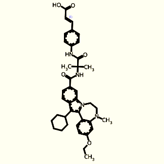 CCOc1ccc2c(c1)N(C)CCn1c-2c(C2CCCCC2)c2ccc(C(=O)NC(C)(C)C(=O)Nc3ccc(/C=C/C(=O)O)cc3)cc21